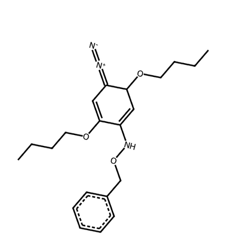 CCCCOC1=CC(=[N+]=[N-])C(OCCCC)C=C1NOCc1ccccc1